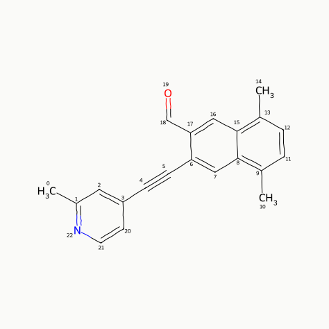 Cc1cc(C#Cc2cc3c(C)ccc(C)c3cc2C=O)ccn1